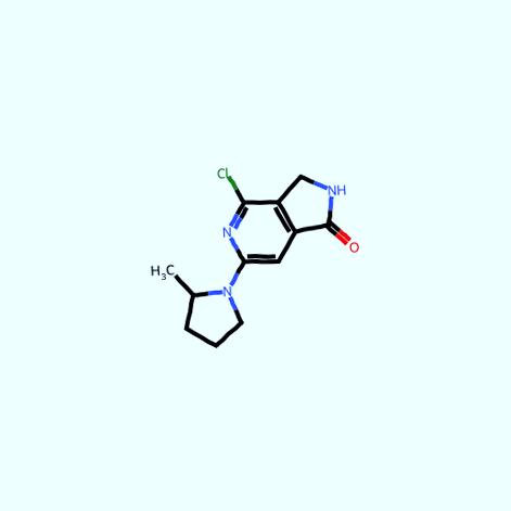 CC1CCCN1c1cc2c(c(Cl)n1)CNC2=O